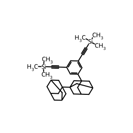 C[Si](C)(C)C#Cc1cc(C#C[Si](C)(C)C)cc(C23CC4CC(C2)CC(C25CC6CC(CC(C6)C2)C5)(C4)C3)c1